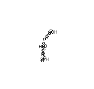 CC1(NC(=O)OC(C)(C)C)CCN(c2cnc(Sc3cccc(NC(=O)c4ccc(Cc5ccc(N6CCN(c7ccc(C(=O)O)nc7)CC6)cc5)cc4)c3)cn2)CC1